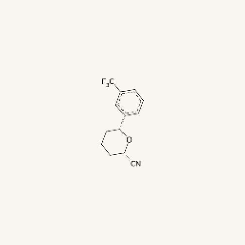 N#C[C@@H]1CCC[C@H](c2cccc(C(F)(F)F)c2)O1